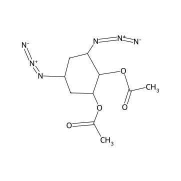 CC(=O)OC1CC(N=[N+]=[N-])CC(N=[N+]=[N-])C1OC(C)=O